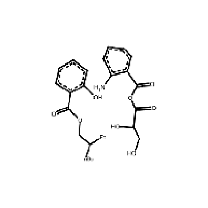 CCCCC(CC)COC(=O)c1ccccc1O.Nc1ccccc1C(=O)OC(=O)C(O)CO